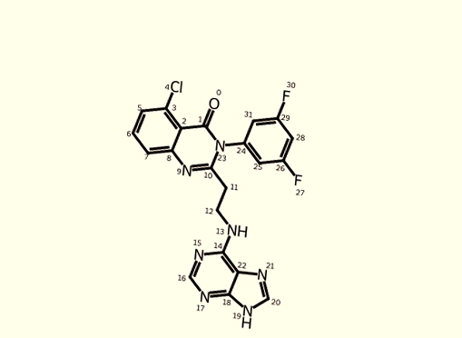 O=c1c2c(Cl)cccc2nc(CCNc2ncnc3[nH]cnc23)n1-c1cc(F)cc(F)c1